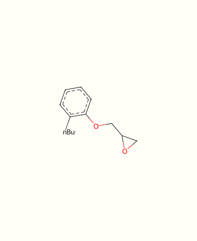 CCC[CH]c1ccccc1OCC1CO1